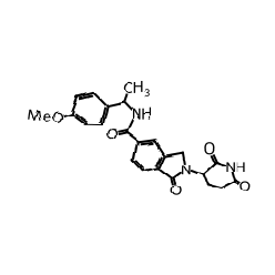 COc1ccc(C(C)NC(=O)c2ccc3c(c2)CN(C2CCC(=O)NC2=O)C3=O)cc1